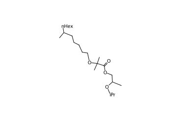 CCCCCCC(C)CCCCCOC(C)(C)C(=O)OCC(C)OC(C)C